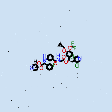 O=C(CNC(=O)c1cccc(NC(C(=O)O[C@H]2CN3CCC2CC3)c2cccc(F)c2)c1)O[C@@H](Cc1c(Cl)cncc1Cl)c1ccc(OC(F)F)c(OCC2CC2)c1